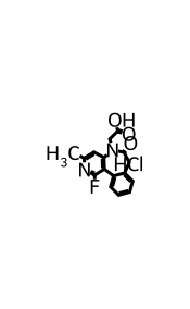 Cc1cc2c(c(F)n1)-c1ccccc1CC(=O)N2CC(=O)O.Cl